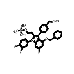 COCc1ccc(-c2c(CCO[Si](C)(C)C(C)(C)C)n(-c3ccc(F)c(F)c3)c3cc(F)cc(OCc4ccccc4)c23)cc1